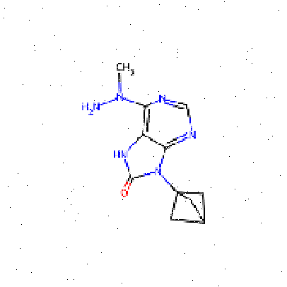 CN(N)c1ncnc2c1[nH]c(=O)n2C12CC(C1)C2